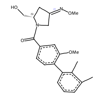 CO/N=C1/C[C@@H](CO)N(C(=O)c2ccc(-c3cccc(C)c3C)c(OC)c2)C1